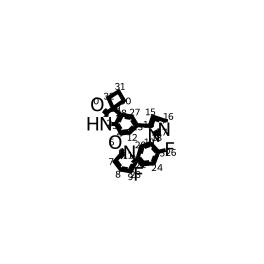 O=C1Nc2c(Oc3ccccn3)cc(-c3ccnn3-c3ccc(F)cc3F)cc2C12CCC2